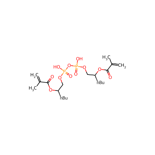 C=C(C)C(=O)OC(CCCC)COP(=O)(O)OP(=O)(O)OCC(CCCC)OC(=O)C(=C)C